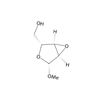 CO[C@@H]1O[C@H](CO)[C@H]2O[C@@H]12